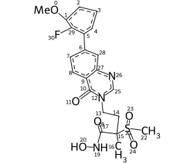 COc1cccc(-c2ccc3c(=O)n(CCC(C)(C(=O)NO)S(C)(=O)=O)cnc3c2)c1F